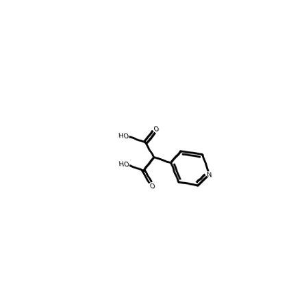 O=C(O)C(C(=O)O)c1ccncc1